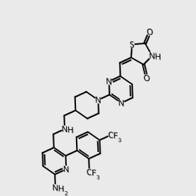 Nc1ccc(CNCC2CCN(c3nccc(C=C4SC(=O)NC4=O)n3)CC2)c(-c2ccc(C(F)(F)F)cc2C(F)(F)F)n1